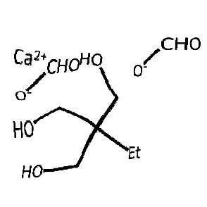 CCC(CO)(CO)CO.O=C[O-].O=C[O-].[Ca+2]